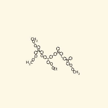 C=COCCOc1cccc(N(c2ccccc2)c2ccc(Cc3cccc(N(c4ccccc4)c4ccc(-c5ccc(C(c6ccc(Oc7cccc(N(c8cccc(OCCOC=C)c8)c8cccc(OCCOC=C)c8)c7)cc6)c6cccc(OCCOCC)c6)cc5)cc4)c3)cc2)c1